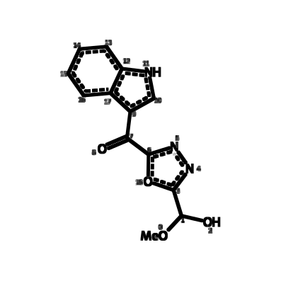 COC(O)c1nnc(C(=O)c2c[nH]c3ccccc23)o1